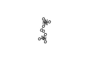 c1ccc(-c2cc(-c3ccccc3)nc(-c3cccc(-c4ccc5c(-c6ccc(-c7nc(-c8ccccc8)nc(-c8ccccc8)n7)cc6)cccc5c4)c3)n2)cc1